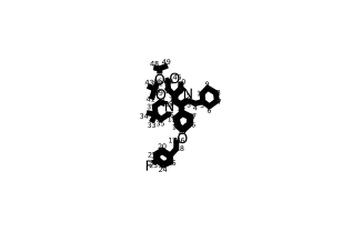 Cc1nc(CC2CCCCC2)c(-c2ccc(OCCc3ccc(F)cc3)cc2)c(N2CCC(C)(C)CC2)c1C(OC(C)(C)C)C(=O)OC(C)C